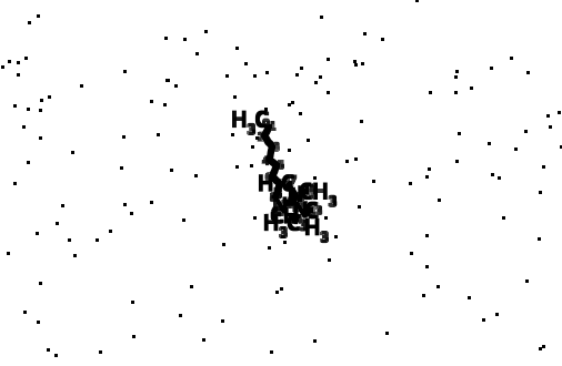 CCCCCCCCCN(C)C(N(C)C)=[N+](C)C